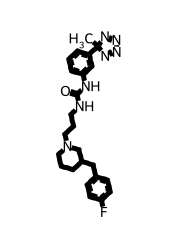 CC1(c2cccc(NC(=O)NCCCN3CCCC(Cc4ccc(F)cc4)C3)c2)N=NN=N1